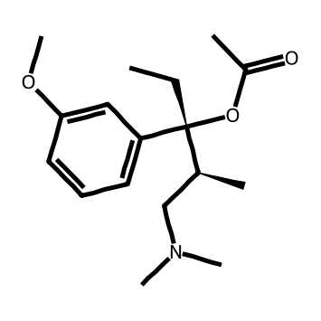 CC[C@](OC(C)=O)(c1cccc(OC)c1)[C@@H](C)CN(C)C